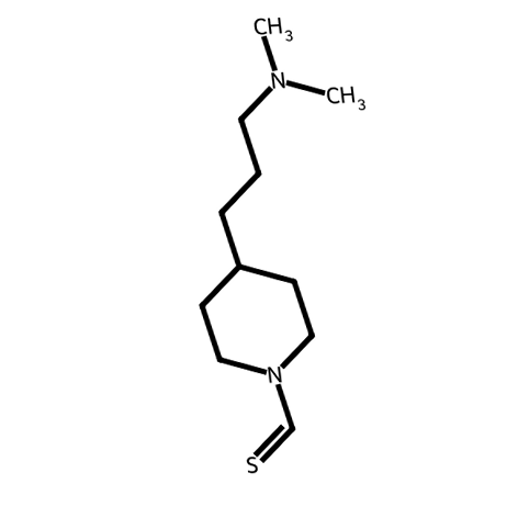 CN(C)CCCC1CCN(C=S)CC1